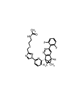 CC(=O)NCCSCc1ncn(-c2cccc([C@]34CC[C@@H](c5cc(-c6c(F)cccc6F)nnc53)C4(C)C)n2)n1